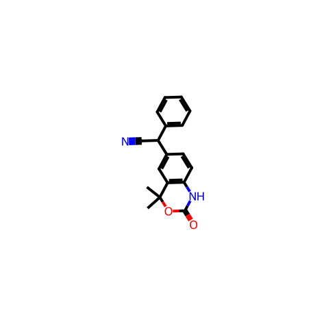 CC1(C)OC(=O)Nc2ccc(C(C#N)c3ccccc3)cc21